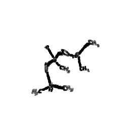 C[SiH](C)O[Si](C)([O])O[SiH](C)C